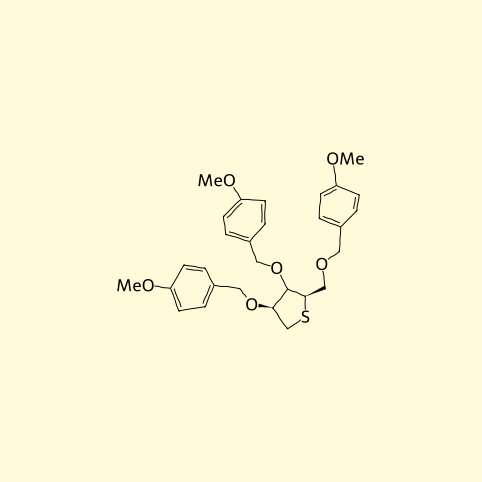 COc1ccc(COC[C@H]2SC[C@@H](OCc3ccc(OC)cc3)C2OCc2ccc(OC)cc2)cc1